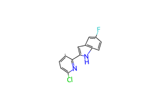 Fc1ccc2[nH]c(-c3[c]ccc(Cl)n3)cc2c1